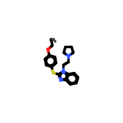 CCOc1ccc(Sc2nc3ccccc3n2CCN2CCCC2)cc1